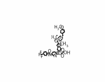 COc1ccc(CN2CCN(C(=O)c3cc4cc(Oc5ccc(NC(=O)c6ccc(C(F)(F)F)cc6)cn5)ccc4n3C)C(C)C2)cc1.O=C(O)C(=O)O